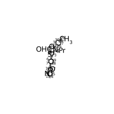 CC(C)N(c1cc(-c2ccc(-c3cc4ncccc4o3)cc2)sc1C=O)C(=O)[C@H]1CC[C@H](C)CC1